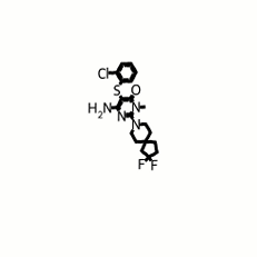 Cn1c(N2CCC3(CC2)CCC(F)(F)C3)nc(N)c(Sc2ccccc2Cl)c1=O